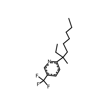 CCCCCCC(C)(CC)c1ccc(C(F)(F)F)cn1